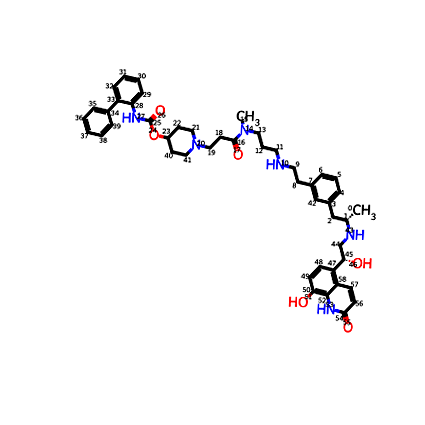 C[C@@H](Cc1cccc(CCNCCCN(C)C(=O)CCN2CCC(OC(=O)Nc3ccccc3-c3ccccc3)CC2)c1)NC[C@H](O)c1ccc(O)c2[nH]c(=O)ccc12